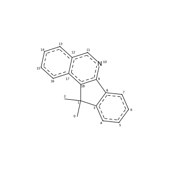 CC1(C)c2ccccc2-c2ncc3ccccc3c21